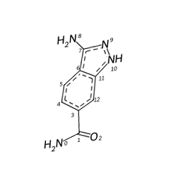 NC(=O)c1ccc2c(N)n[nH]c2c1